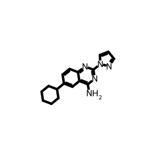 Nc1nc(-n2cccn2)nc2ccc(C3CCCCC3)cc12